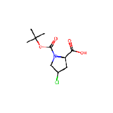 CC(C)(C)OC(=O)N1CC(Cl)CC1C(=O)O